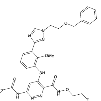 COc1c(Nc2cc(NC(=O)C3CC3)nnc2C(=O)NOCCF)cccc1-c1ncn(CCOCc2ccccc2)n1